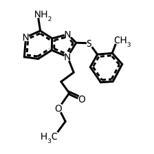 CCOC(=O)CCn1c(Sc2ccccc2C)nc2c(N)nccc21